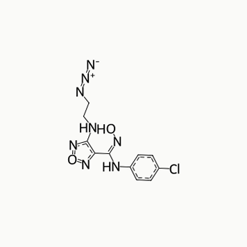 [N-]=[N+]=NCCNc1nonc1C(=NO)Nc1ccc(Cl)cc1